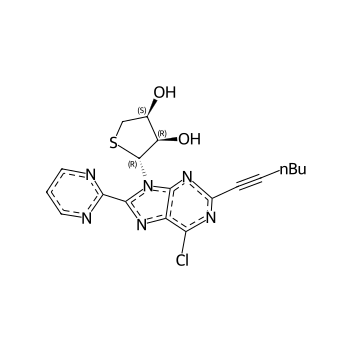 CCCCC#Cc1nc(Cl)c2nc(-c3ncccn3)n([C@@H]3SC[C@@H](O)[C@H]3O)c2n1